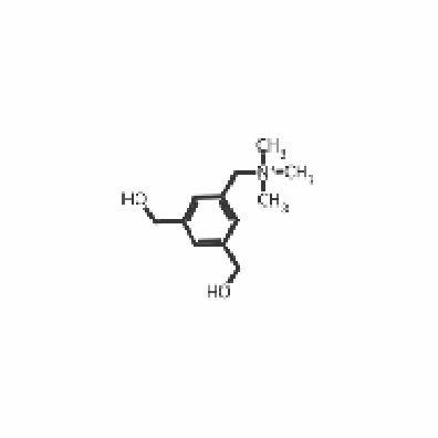 C[N+](C)(C)Cc1cc(CO)cc(CO)c1